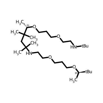 C[C@H](OCCCOCCNC(C)(C)C)C(C)(C)CC(C)(C)NCCOCCCO[C@H](C)C(C)(C)C